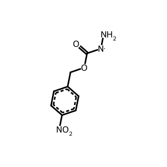 N[N]C(=O)OCc1ccc([N+](=O)[O-])cc1